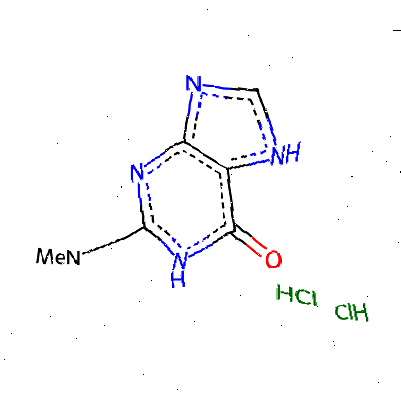 CNc1nc2nc[nH]c2c(=O)[nH]1.Cl.Cl